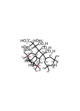 CCCCCCCCCCC(CCCCCCCCCC)(C(=O)O)C(CCCCCCCCCC)(C(=O)O)C(C(=O)O)(C1CC(C)(C)NC(C)(C)C1)C(C(=O)O)(C1CC(C)(C)NC(C)(C)C1)C1CC(C)(C)NC(C)(C)C1